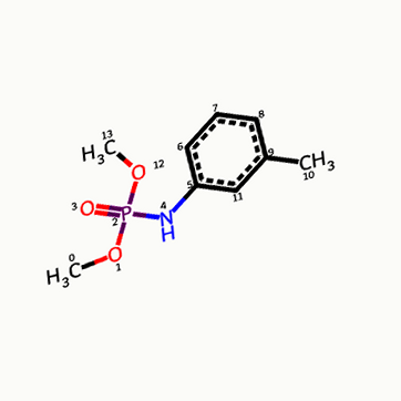 COP(=O)(Nc1cccc(C)c1)OC